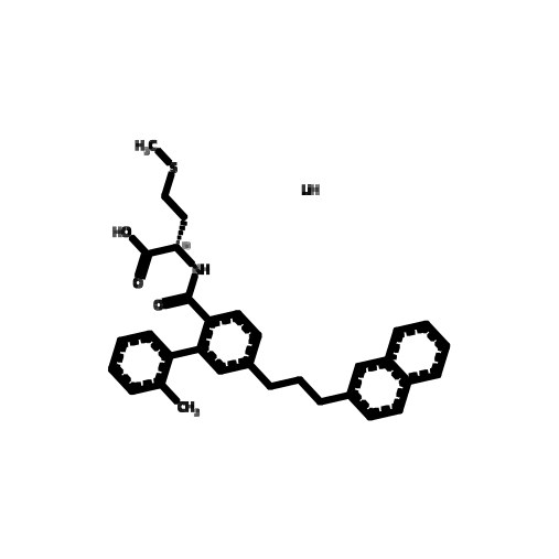 CSCC[C@H](NC(=O)c1ccc(CCCc2ccc3ccccc3c2)cc1-c1ccccc1C)C(=O)O.[LiH]